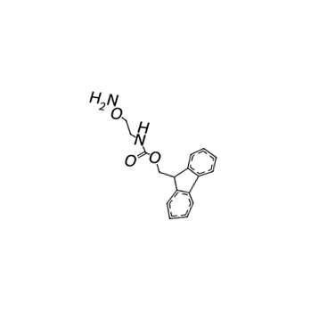 NOCCNC(=O)OCC1c2ccccc2-c2ccccc21